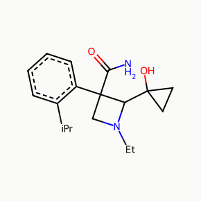 CCN1CC(C(N)=O)(c2ccccc2C(C)C)C1C1(O)CC1